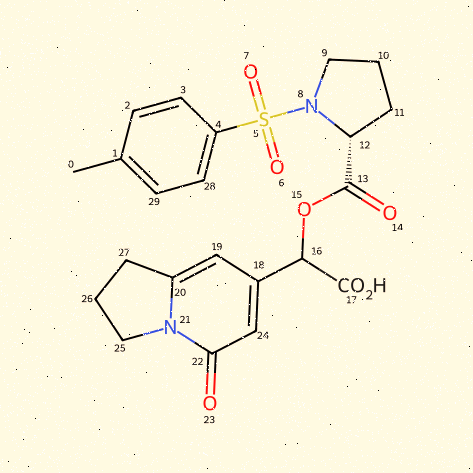 Cc1ccc(S(=O)(=O)N2CCC[C@@H]2C(=O)OC(C(=O)O)c2cc3n(c(=O)c2)CCC3)cc1